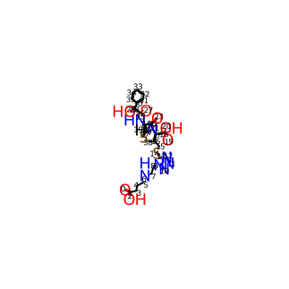 O=C(O)CCCNCCn1nnnc1SCC1=C(C(=O)O)N2C(=O)C(NC(=O)C(O)c3ccccc3)[C@@H]2SC1